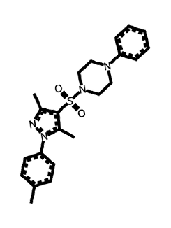 Cc1ccc(-n2nc(C)c(S(=O)(=O)N3CCN(c4ccccc4)CC3)c2C)cc1